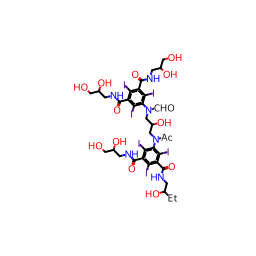 CCC(O)CNC(=O)c1c(I)c(C(=O)NCC(O)CO)c(I)c(N(CC(O)CN(C=O)c2c(I)c(C(=O)NCC(O)CO)c(I)c(C(=O)NCC(O)CO)c2I)C(C)=O)c1I